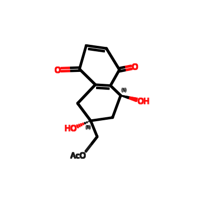 CC(=O)OC[C@@]1(O)CC2=C(C(=O)C=CC2=O)[C@@H](O)C1